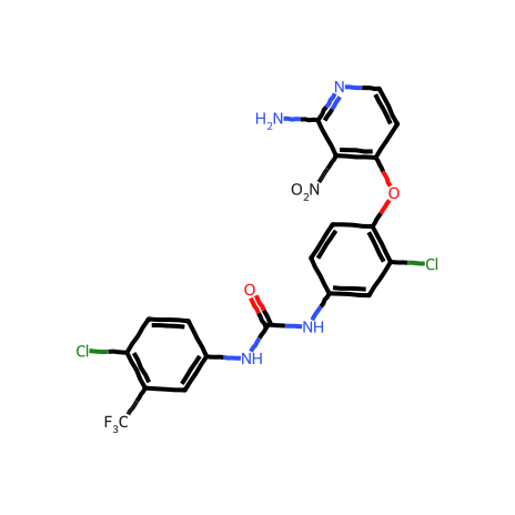 Nc1nccc(Oc2ccc(NC(=O)Nc3ccc(Cl)c(C(F)(F)F)c3)cc2Cl)c1[N+](=O)[O-]